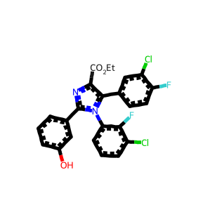 CCOC(=O)c1nc(-c2cccc(O)c2)n(-c2cccc(Cl)c2F)c1-c1ccc(F)c(Cl)c1